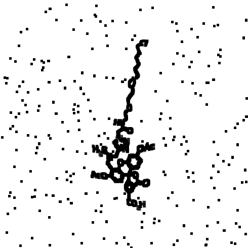 CC(=O)Oc1ccc2c(c1)Oc1c(ccc(OC(C)=O)c1CN(C)Cc1cn(CC(=O)NCCOCCOCCCCCCCl)nn1)C21OC(=O)c2cc(C(=O)O)ccc21